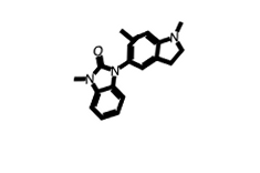 C\C=C(/C=C1/CCN(C)/C1=C/CC)n1c(=O)n(C)c2ccccc21